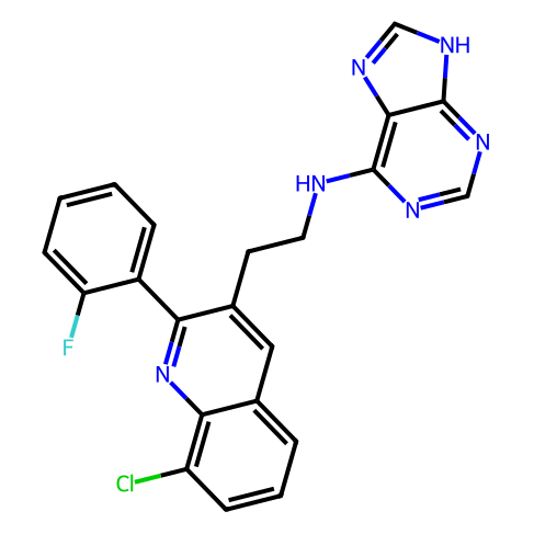 Fc1ccccc1-c1nc2c(Cl)cccc2cc1CCNc1ncnc2[nH]cnc12